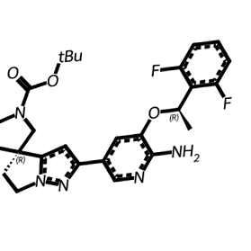 C[C@@H](Oc1cc(-c2cc3n(n2)CC[C@@]32CCN(C(=O)OC(C)(C)C)C2)cnc1N)c1c(F)cccc1F